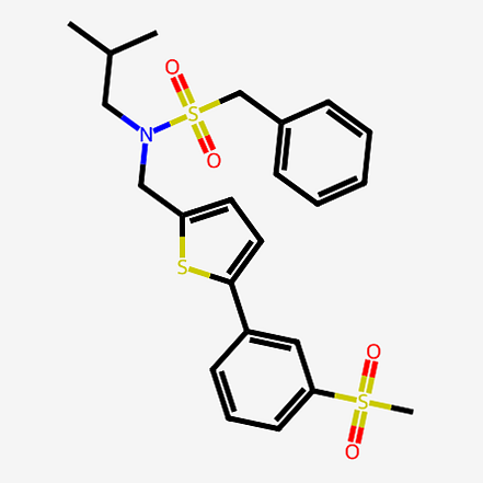 CC(C)CN(Cc1ccc(-c2cccc(S(C)(=O)=O)c2)s1)S(=O)(=O)Cc1ccccc1